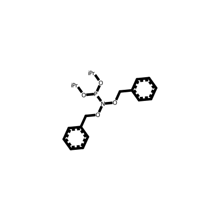 CC(C)OP(OC(C)C)N(OCc1ccccc1)OCc1ccccc1